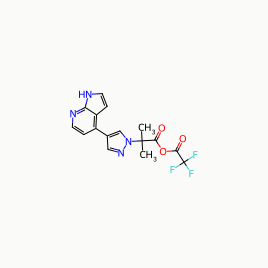 CC(C)(C(=O)OC(=O)C(F)(F)F)n1cc(-c2ccnc3[nH]ccc23)cn1